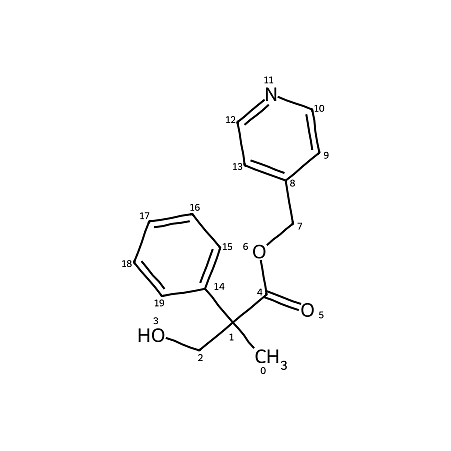 CC(CO)(C(=O)OCc1ccncc1)c1ccccc1